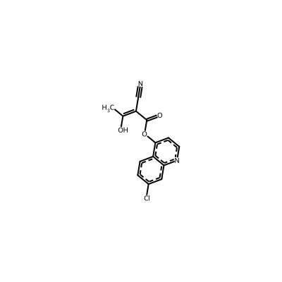 CC(O)=C(C#N)C(=O)Oc1ccnc2cc(Cl)ccc12